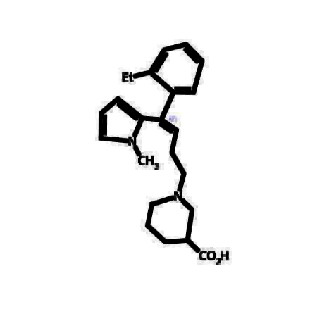 CCc1ccccc1/C(=C/CCN1CCCC(C(=O)O)C1)c1cccn1C